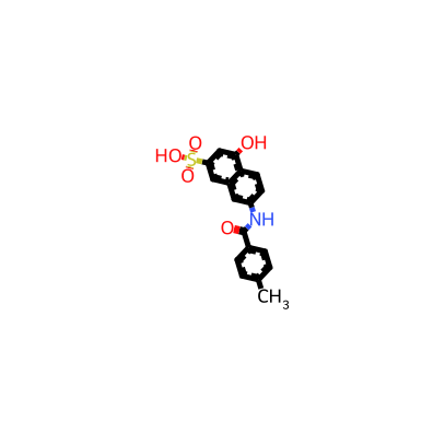 Cc1ccc(C(=O)Nc2ccc3c(O)cc(S(=O)(=O)O)cc3c2)cc1